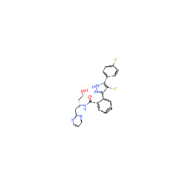 O=C(N[C@@H](CCO)Cc1ncccn1)c1ccccc1-c1n[nH]c(-c2ccc(F)cc2)c1F